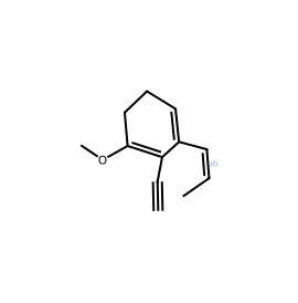 C#CC1=C(OC)CCC=C1/C=C\C